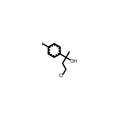 CC(O)(CCCl)c1ccc(I)cc1